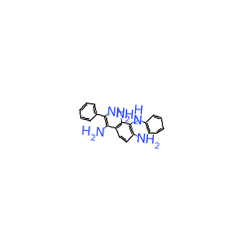 NC(=C(N)c1ccc(N)c(Nc2ccccc2)c1N)c1ccccc1